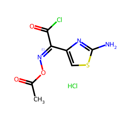 CC(=O)O/N=C(/C(=O)Cl)c1csc(N)n1.Cl